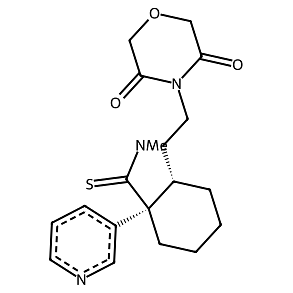 CNC(=S)[C@]1(c2cccnc2)CCCC[C@H]1CCN1C(=O)COCC1=O